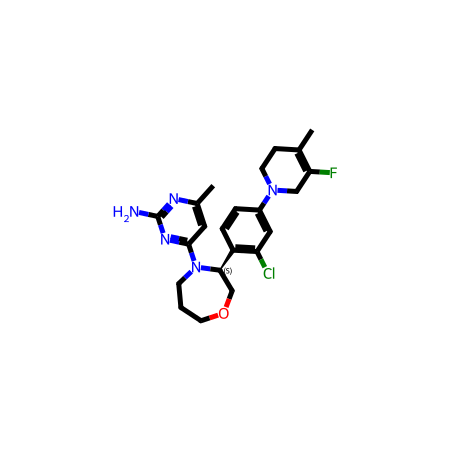 CC1=C(F)CN(c2ccc([C@H]3COCCCN3c3cc(C)nc(N)n3)c(Cl)c2)CC1